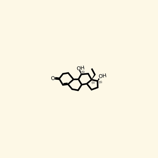 CC[C@]12C[C@H](O)C3C4CCC(=O)C=C4CCC3C1CC[C@@H]2O